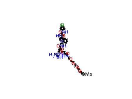 COCCOCCOCCOCCOCCNC(=O)CCC(=O)OC(CCCNC(=N)N)C(=O)NCCN1CCC(NC(=O)C(=O)Nc2ccc(Cl)cc2)CC12CCCCC2